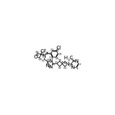 Cc1nccnc1N1CC2(CC(c3nnc4n3-c3ccc(Cl)cc3CN(C3(C(F)(F)F)COC3)C4)C2)C1